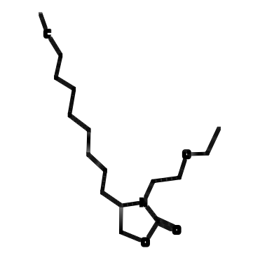 CCCCCCCCCCC1COC(=O)N1CCOCC